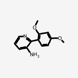 COc1ccc(-c2ncccc2N)c(OC)c1